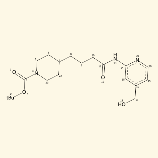 CC(C)(C)OC(=O)N1CCC(CCCC(=O)Nc2cc(CO)ccn2)CC1